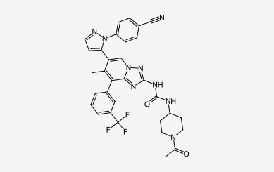 CC(=O)N1CCC(NC(=O)Nc2nc3c(-c4cccc(C(F)(F)F)c4)c(C)c(-c4ccnn4-c4ccc(C#N)cc4)cn3n2)CC1